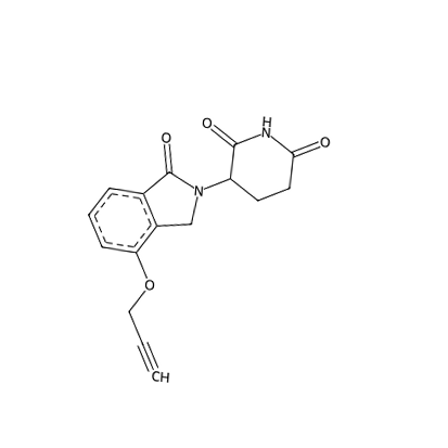 C#CCOc1cccc2c1CN(C1CCC(=O)NC1=O)C2=O